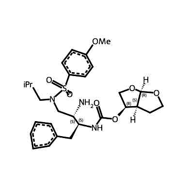 COc1ccc(S(=O)(=O)N(CC(C)C)C[C@H](N)[C@H](Cc2ccccc2)NC(=O)O[C@H]2CO[C@H]3OCC[C@H]32)cc1